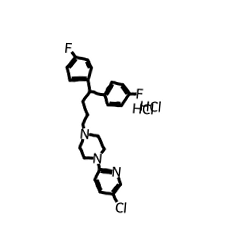 Cl.Cl.Fc1ccc(C(CCCN2CCN(c3ccc(Cl)cn3)CC2)c2ccc(F)cc2)cc1